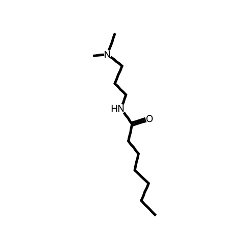 CCCCCCC(=O)NCCCN(C)C